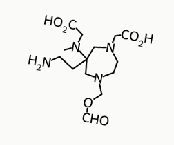 CN(CC(=O)O)C1(CCN)CN(COC=O)CCN(CC(=O)O)C1